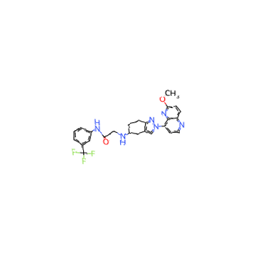 COc1ccc2nccc(-n3cc4c(n3)CCC(NCC(=O)Nc3cccc(C(F)(F)F)c3)C4)c2n1